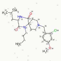 CCCCN1C(=O)C(CC(C)C)NC(=O)C12CCN(Cc1ccc(OC)cc1Cl)CC2